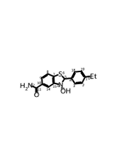 CCc1ccc(C2Sc3ccc(C(N)=O)cc3N2O)cc1